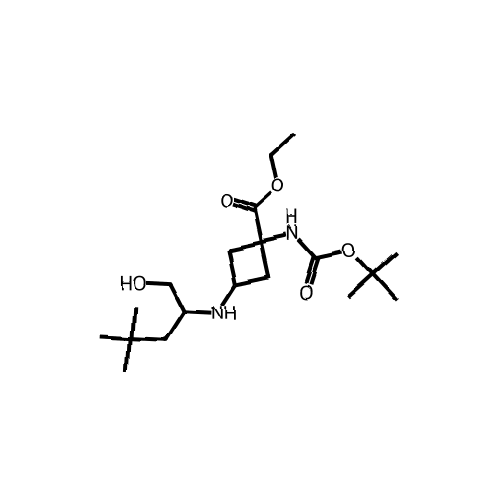 CCOC(=O)C1(NC(=O)OC(C)(C)C)CC(NC(CO)CC(C)(C)C)C1